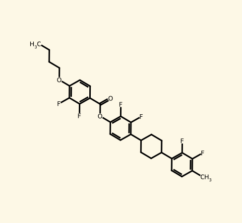 CCCCOc1ccc(C(=O)Oc2ccc(C3CCC(c4ccc(C)c(F)c4F)CC3)c(F)c2F)c(F)c1F